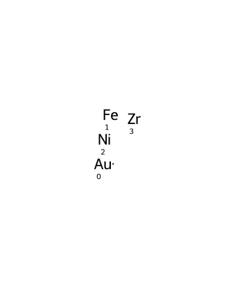 [Au].[Fe].[Ni].[Zr]